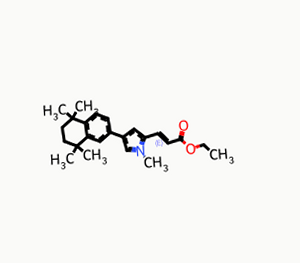 CCOC(=O)/C=C/c1cc(-c2ccc3c(c2)C(C)(C)CCC3(C)C)cn1C